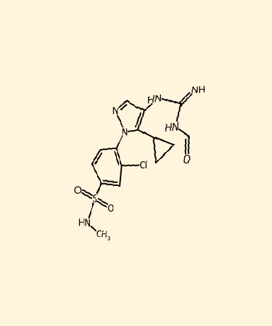 CNS(=O)(=O)c1ccc(-n2ncc(NC(=N)NC=O)c2C2CC2)c(Cl)c1